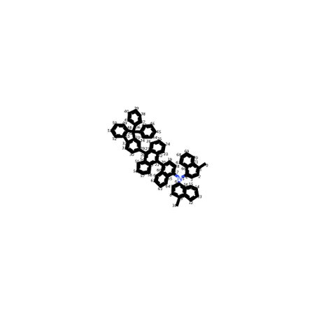 Cc1ccc(N(c2ccc(C)c3ccccc23)c2ccc(-c3c4ccccc4c(-c4ccc5c(c4)C(c4ccccc4)(c4ccccc4)c4ccccc4-5)c4ccccc34)c3ccccc23)c2ccccc12